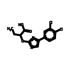 CCC(Oc1ncn(-c2ccc(Cl)c(Cl)c2)n1)C(=O)O